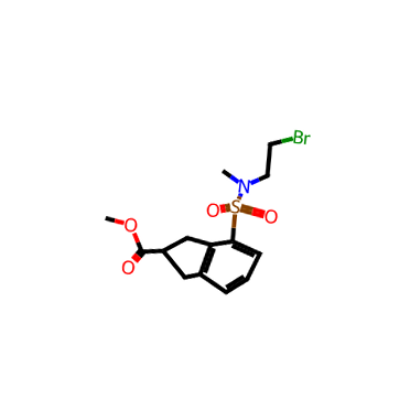 COC(=O)C1Cc2cccc(S(=O)(=O)N(C)CCBr)c2C1